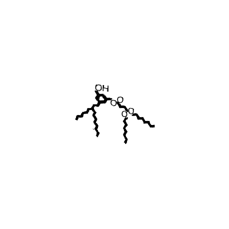 CC[CH]CCCCCC(CCCCCC)CCc1cc(CO)cc(COC(=O)CCC(OCCCCCCCC)OCCCCCCCC)c1